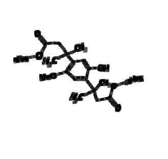 CCCCCCOC(=O)CC(C)(C)c1cc(OC)c(C(C)(C)CC(=O)OCCCCCC)cc1O